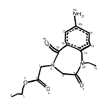 CCOC(=O)CN1CC(=O)N(C)c2ccc(N)cc2C1=O